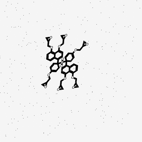 O=S(=O)(C1(c2ccc(OCC3CO3)c3c(OCC4CO4)cccc23)C=CC(OCC2CO2)=CC1)C1(c2ccc(OCC3CO3)c3c(OCC4CO4)cccc23)C=CC(OCC2CO2)=CC1